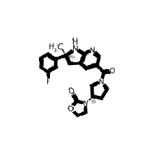 C[C@@]1(c2cccc(F)c2)Cc2cc(C(=O)N3CC[C@H](N4CCOC4=O)C3)cnc2N1